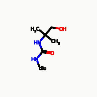 CC(C)(C)NC(=O)NC(C)(C)CO